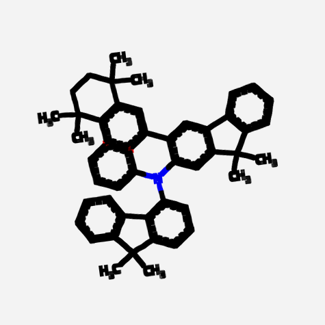 CC1(C)CCC(C)(C)c2cc(-c3cc4c(cc3N(c3ccccc3)c3cccc5c3-c3ccccc3C5(C)C)C(C)(C)c3ccccc3-4)ccc21